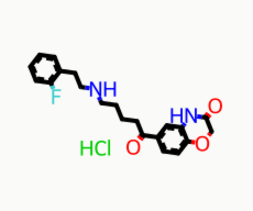 Cl.O=C1COc2ccc(C(=O)CCCCNCCc3ccccc3F)cc2N1